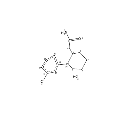 Cl.NC(=O)CC1CCCCN1c1cccc(Cl)c1